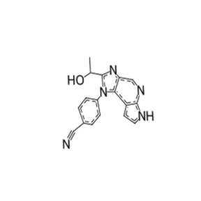 CC(O)c1nc2cnc3[nH]ccc3c2n1-c1ccc(C#N)cc1